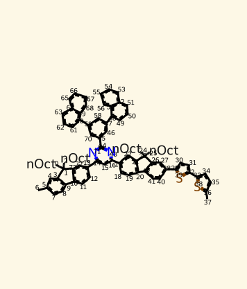 CCCCCCCCC1(CCCCCCCC)c2cc(C)ccc2-c2ccc(-c3cc(-c4ccc5c(c4)C(CCCCCCCC)(CCCCCCCC)c4cc(-c6ccc(-c7ccc(C)s7)s6)ccc4-5)nc(-c4cc(-c5cccc6ccccc56)cc(-c5cccc6ccccc56)c4)n3)cc21